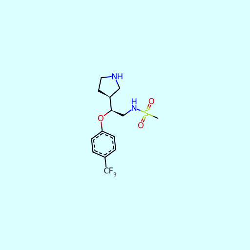 CS(=O)(=O)NC[C@@H](Oc1ccc(C(F)(F)F)cc1)[C@H]1CCNC1